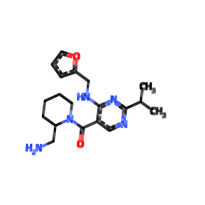 CC(C)c1ncc(C(=O)N2CCCCC2CN)c(NCc2ccco2)n1